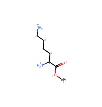 CCCOC(=O)C(N)CCCCN